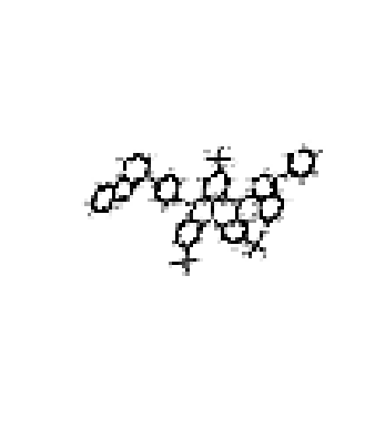 CC(C)(C)c1ccc2c(c1)B1c3ccc(C(C)(C)C)cc3N(c3ccc(-c4ccccc4)c4ccccc34)c3cc(C(C)(C)C)cc(c31)N2c1ccc(-c2cccc3c2oc2ccccc23)cc1